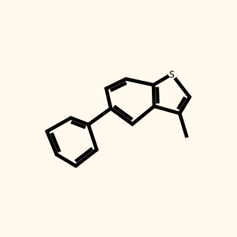 Cc1csc2ccc(-c3ccccc3)cc12